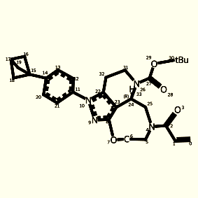 C=CC(=O)N1CCOc2nn(-c3ccc(C45CC(C4)C5)cc3)c3c2[C@H](C1)N(C(=O)OC(C)(C)C)CC3